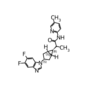 Cc1ccc(NC(=O)C(C)[C@H]2[C@@H]3C[C@@H](n4cnc5cc(F)c(F)cc54)C[C@@H]32)nc1